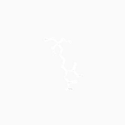 CCO[Si](CCCSC(CC(=O)OC)C(=O)OC)(OCC)OCC